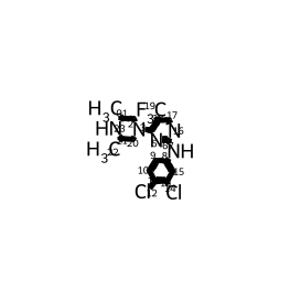 CC1CN(c2nc(Nc3ccc(Cl)c(Cl)c3)ncc2C(F)(F)F)CC(C)N1